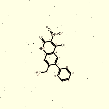 CCc1cc2[nH]c(=O)c([N+](=O)[O-])c(O)c2cc1-c1ccccc1